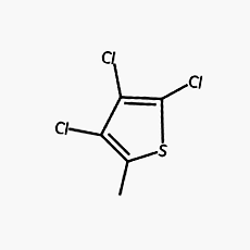 Cc1sc(Cl)c(Cl)c1Cl